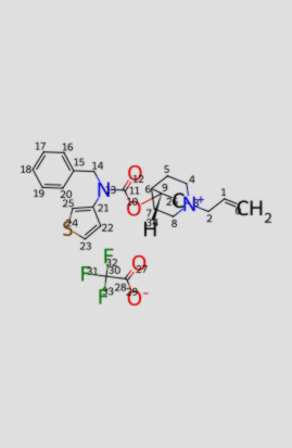 C=CC[N+]12CCC(CC1)[C@@H](OC(=O)N(Cc1ccccc1)c1ccsc1)C2.O=C([O-])C(F)(F)F